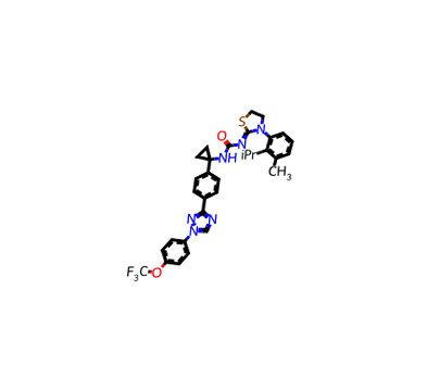 Cc1cccc(N2CCS/C2=N\C(=O)NC2(c3ccc(-c4ncn(-c5ccc(OC(F)(F)F)cc5)n4)cc3)CC2)c1C(C)C